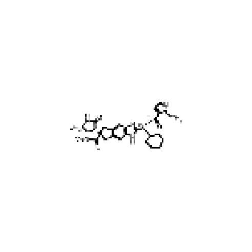 CC[C@@H]1CN(C2(C(=O)NC)Cc3cc4nc([C@@H](NC(=O)c5ccnn5C)C5CCCCC5)[nH]c4cc3C2)C(=O)N1